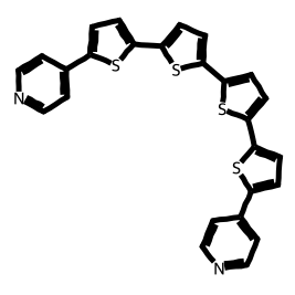 c1cc(-c2ccc(-c3ccc(-c4ccc(-c5ccc(-c6ccncc6)s5)s4)s3)s2)ccn1